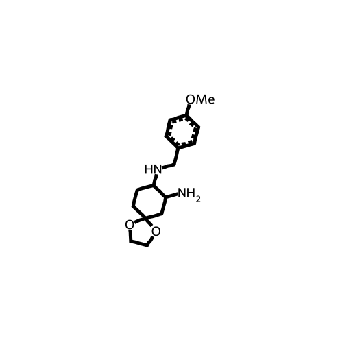 COc1ccc(CNC2CCC3(CC2N)OCCO3)cc1